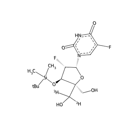 [2H]C([2H])(O)[C@]1(CO)O[C@@H](n2cc(F)c(=O)[nH]c2=O)[C@@H](F)[C@@H]1O[Si](C)(C)C(C)(C)C